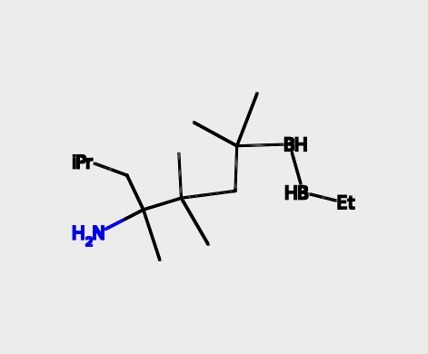 CCBBC(C)(C)CC(C)(C)C(C)(N)CC(C)C